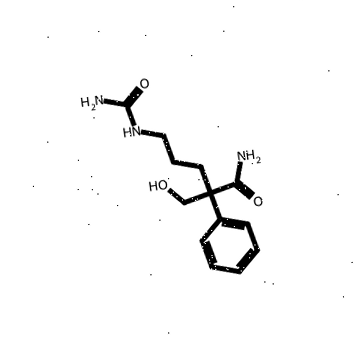 NC(=O)NCCCC(CO)(C(N)=O)c1ccccc1